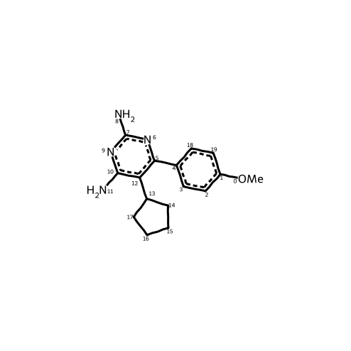 COc1ccc(-c2nc(N)nc(N)c2C2CCCC2)cc1